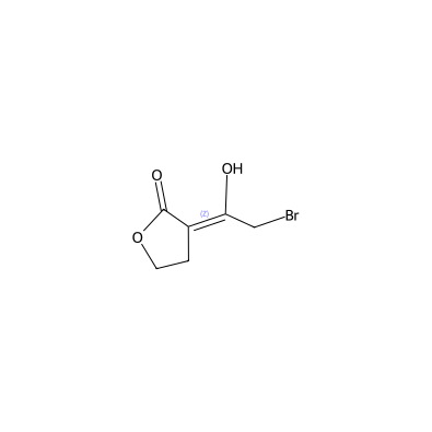 O=C1OCC/C1=C(/O)CBr